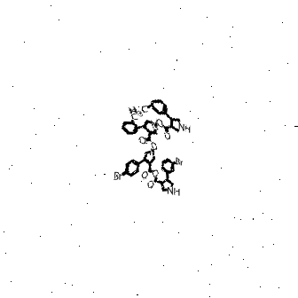 Cc1cccc(C2CNCC2C(=O)ON2CC(C(=O)ON3CC(C(=O)OC(=O)C4CNCC4c4cccc(Br)c4)C(c4ccc(Br)cc4)C3)C(c3ccccc3C)C2)c1